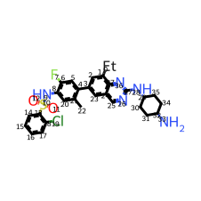 CCc1cc(-c2cc(F)c(NS(=O)(=O)c3ccccc3Cl)cc2C)cc2cnc(N[C@H]3CC[C@H](N)CC3)nc12